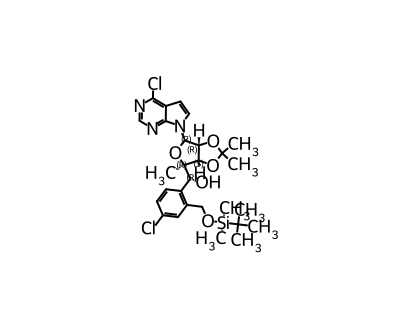 CC1(C)O[C@H]2[C@H](n3ccc4c(Cl)ncnc43)O[C@](C)([C@H](O)c3ccc(Cl)cc3CO[Si](C)(C)C(C)(C)C)[C@H]2O1